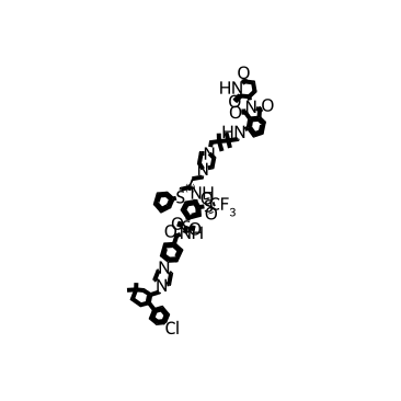 CC1(C)CCC(c2ccc(Cl)cc2)=C(CN2CCN(c3ccc(C(=O)NS(=O)(=O)c4ccc(N[C@H](CCN5CCN(CC(C)(C)C(C)(C)CNc6cccc7c6C(=O)N(C6CCC(=O)NC6=O)C7=O)CC5)CSc5ccccc5)c(S(=O)(=O)C(F)(F)F)c4)cc3)CC2)C1